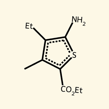 CCOC(=O)c1sc(N)c(CC)c1C